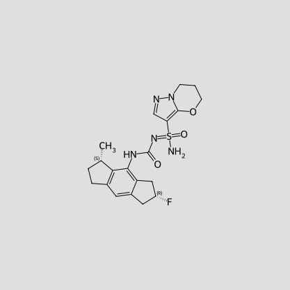 C[C@H]1CCc2cc3c(c(NC(=O)N=S(N)(=O)c4cnn5c4OCCC5)c21)C[C@H](F)C3